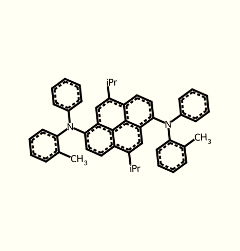 Cc1ccccc1N(c1ccccc1)c1ccc2c(C(C)C)cc3c(N(c4ccccc4)c4ccccc4C)ccc4c(C(C)C)cc1c2c43